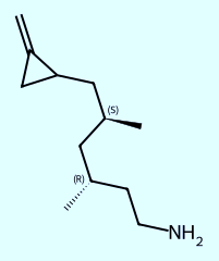 C=C1CC1C[C@@H](C)C[C@@H](C)CCN